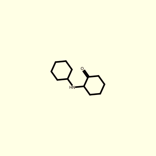 O=C1CCCCC1NC1CCCCC1